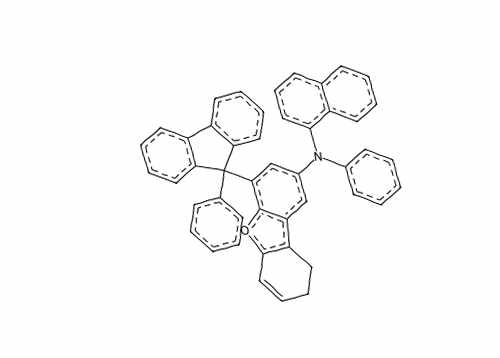 C1=Cc2oc3c(C4(c5ccccc5)c5ccccc5-c5ccccc54)cc(N(c4ccccc4)c4cccc5ccccc45)cc3c2CC1